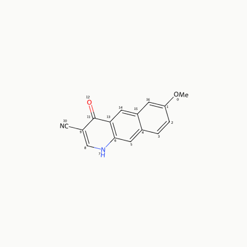 COc1ccc2cc3[nH]cc(C#N)c(=O)c3cc2c1